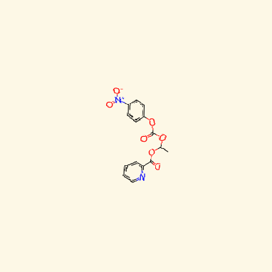 CC(OC(=O)Oc1ccc([N+](=O)[O-])cc1)OC(=O)c1ccccn1